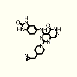 O=c1[nH]c2ccc(Nc3nc(N4CCC(CC5C=N5)CC4)nc4cn[nH]c(=O)c34)cc2[nH]1